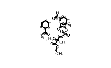 CCOC(=O)C(C)(C)COS(=O)(=O)ON1C(=O)N2C[C@H]1CC[C@H]2C(N)=O.COC(=O)C1CCCCC1